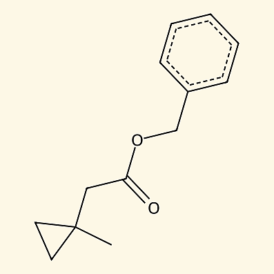 CC1(CC(=O)OCc2ccccc2)CC1